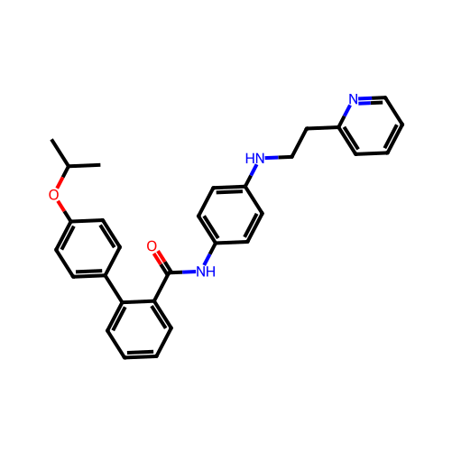 CC(C)Oc1ccc(-c2ccccc2C(=O)Nc2ccc(NCCc3ccccn3)cc2)cc1